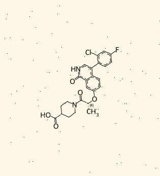 C[C@@H](Oc1ccc2c(-c3ccc(F)cc3Cl)c[nH]c(=O)c2c1)C(=O)N1CCC(C(=O)O)CC1